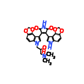 CN(C)CC(O)Cn1cc(C2=C(c3c[nH]c4ccc5c(c34)OCO5)C(=O)NC2=O)c2c3c(ccc21)OCO3